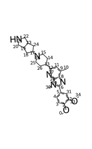 COc1ccc(-c2nc3c(C)cc(C4CCN(C5CC6CNCC6C5)CC4)nc3n2C)cc1OC